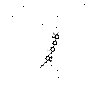 CCCCCc1ccc(CCc2ccc(-c3ccc(-c4ccc(C)c(F)c4F)cc3)c(F)c2F)c(F)c1F